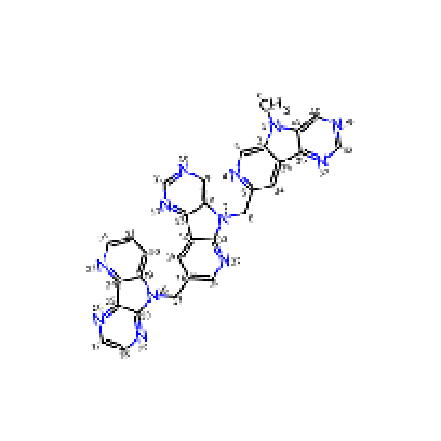 Cn1c2cnc(Cn3c4cncnc4c4cc(Cn5c6cccnc6c6nccnc65)cnc43)cc2c2ncncc21